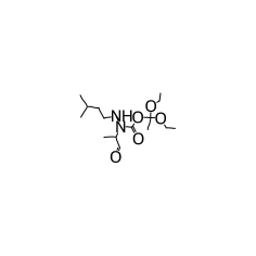 CCOC(C)(OCC)OC(=O)N(NCCC(C)C)C(C)C=O